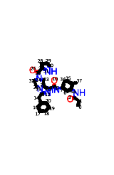 C=CC(=O)Nc1cc(NC(=O)c2nc(Cc3ccccc3)n3c2CN(C(=O)c2ccc[nH]2)CC3)ccc1C